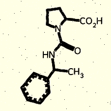 CC(NC(=O)N1CCCC1C(=O)O)c1ccccc1